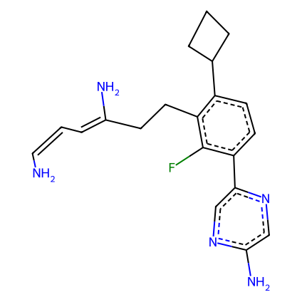 N/C=C\C=C(/N)CCc1c(C2CCC2)ccc(-c2cnc(N)cn2)c1F